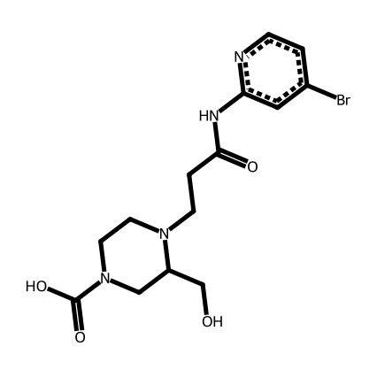 O=C(CCN1CCN(C(=O)O)CC1CO)Nc1cc(Br)ccn1